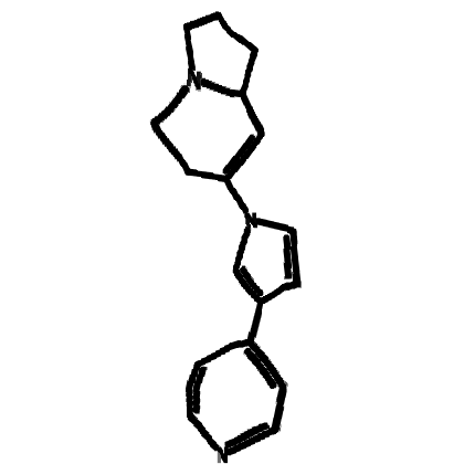 C1=C(n2ccc(-c3ccncc3)c2)CCN2CCCC12